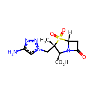 C[C@]1(Cn2cc(N)nn2)[C@H](C(=O)O)N2C(=O)C[C@H]2S1(=O)=O